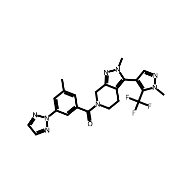 Cc1cc(C(=O)N2CCc3c(nn(C)c3-c3cnn(C)c3C(F)(F)F)C2)cc(-n2nccn2)c1